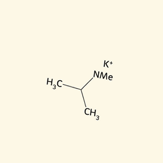 C[N-]C(C)C.[K+]